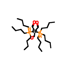 CCCC[PH](CCCC)(CCCC)[Fe]([CH]=O)([CH]=O)([CH]=O)[PH](CCCC)(CCCC)CCCC